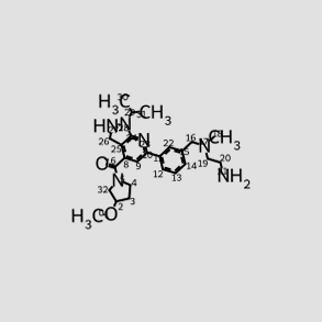 COC1CCN(C(=O)c2cc(-c3cccc(CN(C)CCN)c3)nc3c2CNN3C(C)C)C1